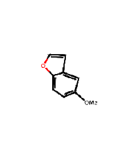 COc1ccc2o[c]cc2c1